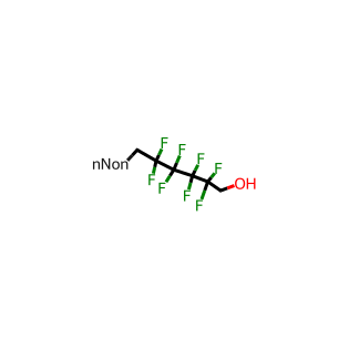 CCCCCCCCCCC(F)(F)C(F)(F)C(F)(F)C(F)(F)CO